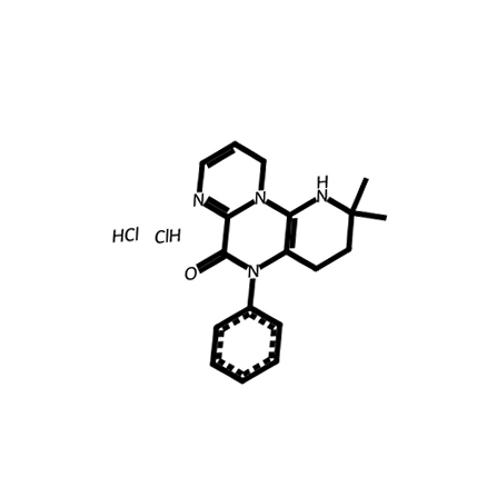 CC1(C)CCC2=C(N1)N1CC=CN=C1C(=O)N2c1ccccc1.Cl.Cl